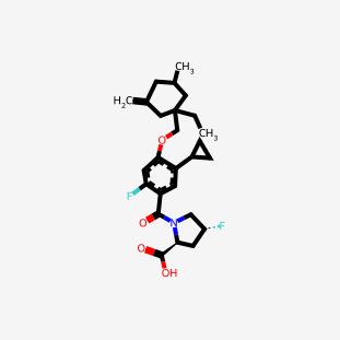 C=C1CC(C)CC(CC)(COc2cc(F)c(C(=O)N3C[C@H](F)C[C@H]3C(=O)O)cc2C2CC2)C1